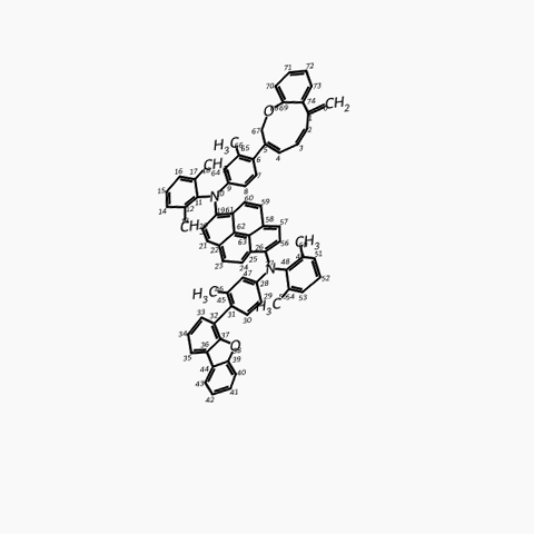 C=C1/C=C\C=C(\c2ccc(N(c3c(C)cccc3C)c3ccc4ccc5c(N(c6ccc(-c7cccc8c7oc7ccccc78)c(C)c6)c6c(C)cccc6C)ccc6ccc3c4c65)cc2C)COc2ccccc21